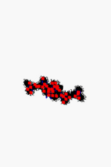 c1ccc(-c2ccccc2-c2nc(-c3ccc(-n4c5ccccc5c5cc(-c6ccc(N(c7ccccc7)c7ccccc7)cc6)ccc54)cc3)cc(-c3ccccc3-c3nc4ccccc4o3)c2-c2ccc(-n3c4ccccc4c4cc(-c5ccc(N(c6ccccc6)c6ccccc6)cc5)ccc43)cc2)cc1